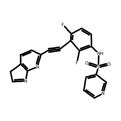 O=S(=O)(Nc1ccc(F)c(C#Cc2ccc3c(n2)N=CC3)c1F)c1cccnc1